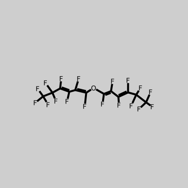 FC(OC(F)=C(F)C(F)=C(F)C(F)(F)C(F)(F)F)=C(F)C(F)=C(F)C(F)(F)C(F)(F)F